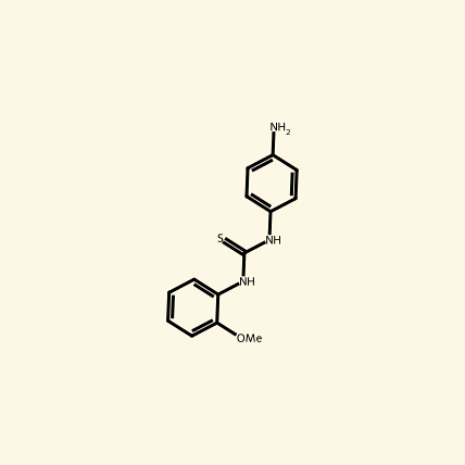 COc1ccccc1NC(=S)Nc1ccc(N)cc1